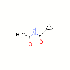 CC([O])NC(=O)C1CC1